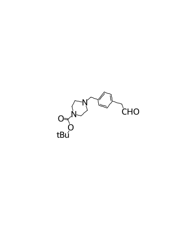 CC(C)(C)OC(=O)N1CCN(Cc2ccc(CC=O)cc2)CC1